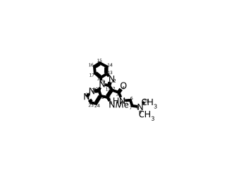 CNc1c(C(=O)NCCN(C)C)c2nc3ccccc3n2c2nnccc12